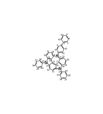 c1ccc(-c2ccc(-n3c4cccc5c4c4c6c7c(cccc73)n(-c3ccccc3)c6ccc4n5-c3ccccc3)cc2)cc1